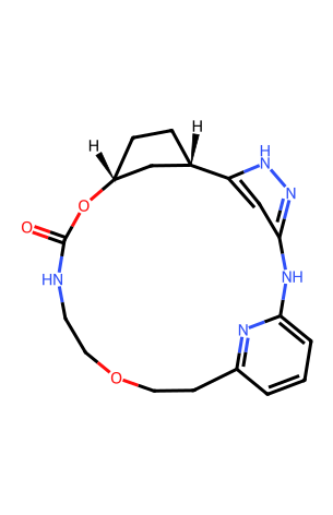 O=C1NCCOCCc2cccc(n2)Nc2cc([nH]n2)[C@H]2CC[C@H](C2)O1